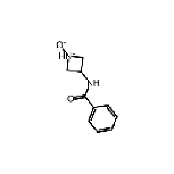 O=C(NC1C[NH+]([O-])C1)c1ccccc1